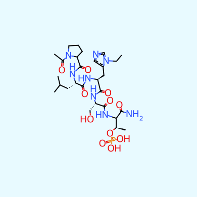 CCn1cncc1C[C@H](NC(=O)[C@H](CC(C)C)NC(=O)C1CCCN1C(C)=O)C(=O)N[C@@H](CO)C(=O)NC(C(N)=O)[C@@H](C)OP(=O)(O)O